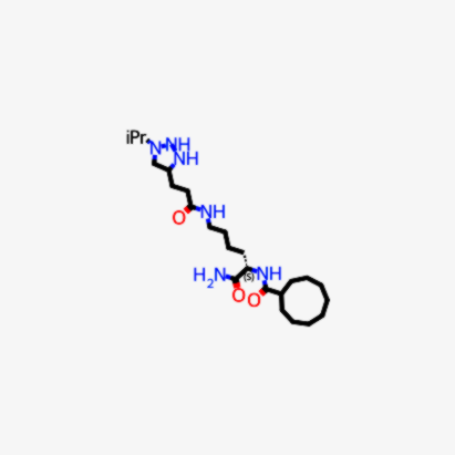 CC(C)N1CC(CCC(=O)NCCCC[C@H](NC(=O)C2CCCCCCCC2)C(N)=O)NN1